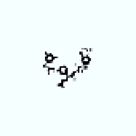 CC(C)=CCN(C(=O)CNC(=O)Nc1cccc(CC(=O)O)c1)c1cccc(OCC(=O)N(C)c2cc(C)cc(C)c2)c1